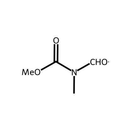 COC(=O)N(C)[C]=O